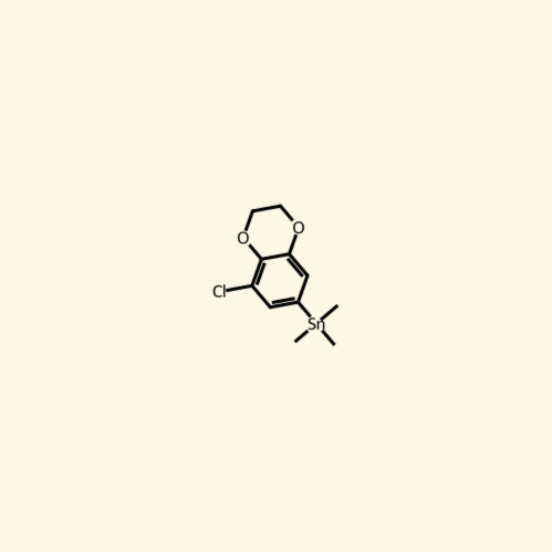 [CH3][Sn]([CH3])([CH3])[c]1cc(Cl)c2c(c1)OCCO2